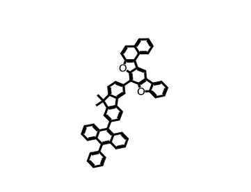 CC1(C)c2ccc(-c3c4oc5ccccc5c4cc4c3oc3ccc5ccccc5c34)cc2-c2ccc(-c3c4ccccc4c(-c4ccccc4)c4ccccc34)cc21